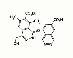 CCOC(=O)c1c(C)cc2c(CO)n[nH]c(=O)c2c1C.O=C(O)c1ccc2cnncc2c1